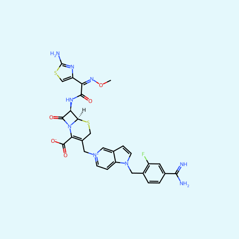 CO/N=C(\C(=O)N[C@@H]1C(=O)N2C(C(=O)[O-])=C(C[n+]3ccc4c(ccn4Cc4ccc(C(=N)N)cc4F)c3)CS[C@H]12)c1csc(N)n1